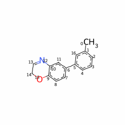 Cc1cccc(-c2ccc3c(c2)N=CCO3)c1